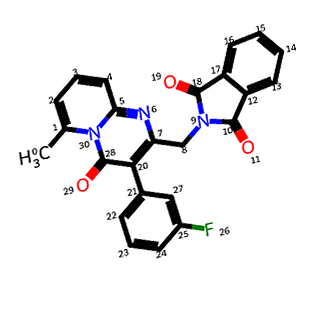 Cc1cccc2nc(CN3C(=O)c4ccccc4C3=O)c(-c3cccc(F)c3)c(=O)n12